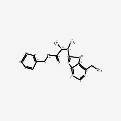 CCc1ncnc2nc(N(C)[C@H](C)C(=O)NCc3ccccc3)sc12